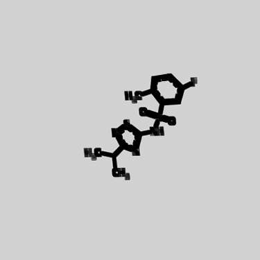 Cc1ccc(F)cc1S(=O)(=O)Nc1nc(C(C)C)ns1